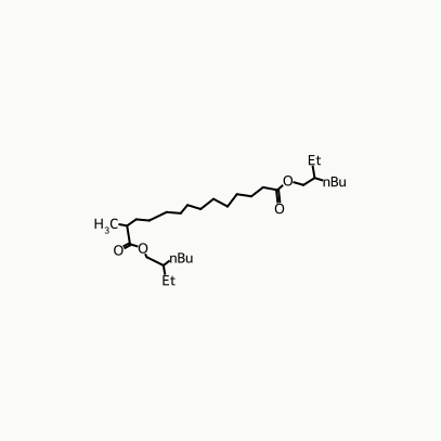 CCCCC(CC)COC(=O)CCCCCCCCCCCC(C)C(=O)OCC(CC)CCCC